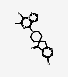 Cc1nc(N2CCC3(CC2)Cc2ncc(Cl)cc2C3=O)c2ccnn2c1Br